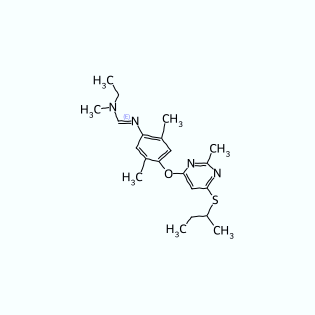 CCC(C)Sc1cc(Oc2cc(C)c(/N=C/N(C)CC)cc2C)nc(C)n1